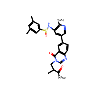 CNC(=O)C(C)Cn1cnc2ccc(-c3cnc(OC)c(N[S+]([O-])c4cc(C)cc(C)c4)c3)cc2c1=O